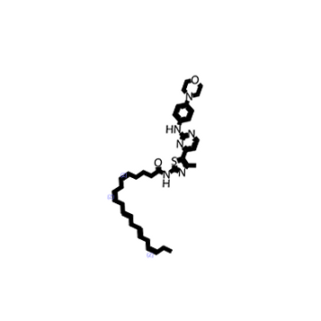 CC/C=C\CC=CCC=CC/C=C\C/C=C\CCCC(=O)Nc1nc(C)c(-c2ccnc(Nc3ccc(N4CCOCC4)cc3)n2)s1